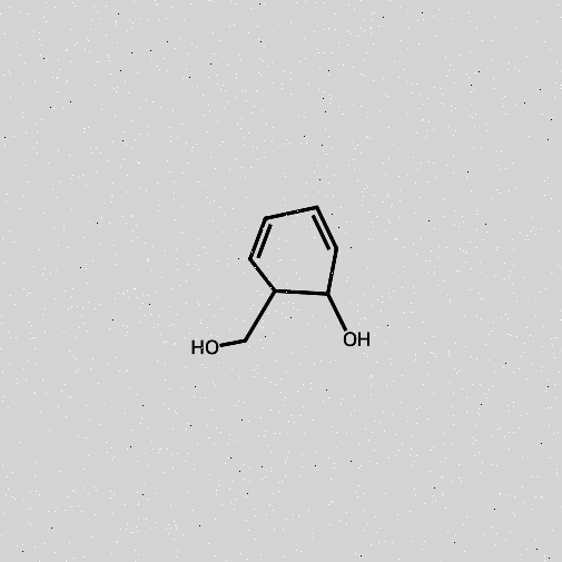 OCC1C=CC=CC1O